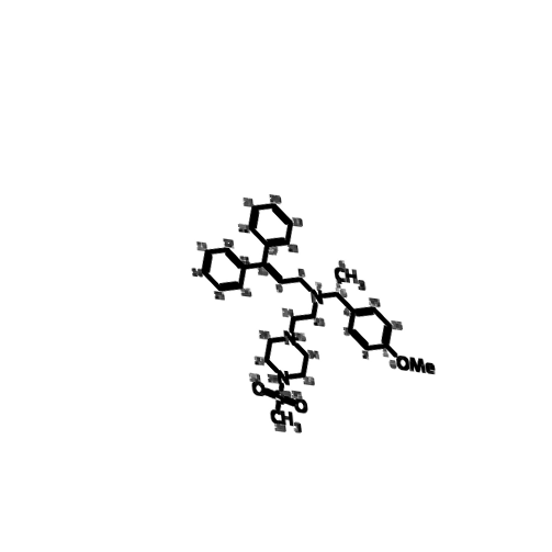 COc1ccc([C@@H](C)N(CC=C(c2ccccc2)c2ccccc2)CCN2CCN(S(C)(=O)=O)CC2)cc1